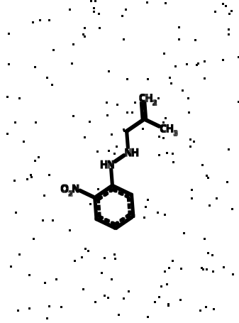 C=C(C)CNNc1ccccc1[N+](=O)[O-]